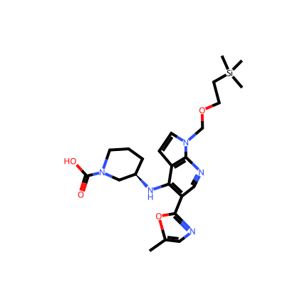 Cc1cnc(-c2cnc3c(ccn3COCC[Si](C)(C)C)c2N[C@@H]2CCCN(C(=O)O)C2)o1